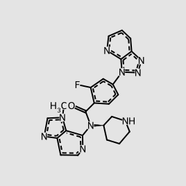 Cn1cnc2ccnc(N(C(=O)c3ccc(-n4nnc5cccnc54)cc3F)[C@@H]3CCCNC3)c21